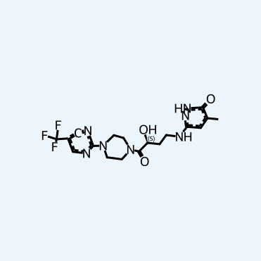 Cc1cc(NCC[C@H](O)C(=O)N2CCN(c3ncc(C(F)(F)F)cn3)CC2)n[nH]c1=O